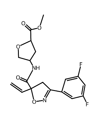 C=CC1(C(=O)NC2COC(C(=O)OC)C2)CC(c2cc(F)cc(F)c2)=NO1